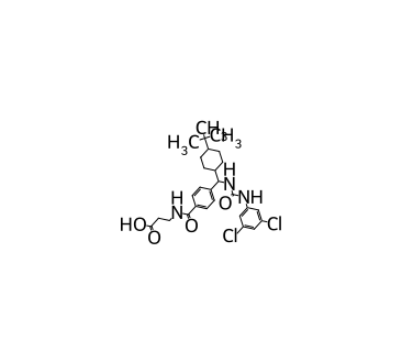 CC(C)(C)C1CCC(C(NC(=O)Nc2cc(Cl)cc(Cl)c2)c2ccc(C(=O)NCCC(=O)O)cc2)CC1